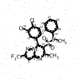 Cc1nc2cc(C(F)(F)F)nn2c(-c2ccc(Cl)c(Cl)c2)c1S(=O)(=O)N(C)c1ccccc1